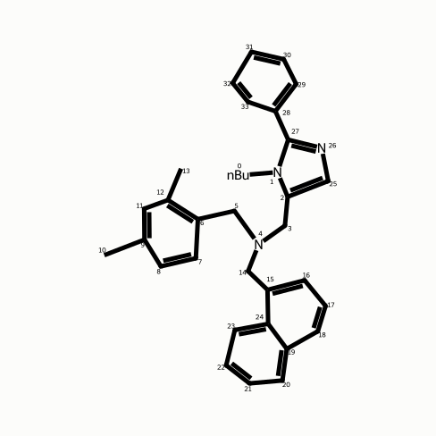 CCCCn1c(CN(Cc2ccc(C)cc2C)Cc2cccc3ccccc23)cnc1-c1ccccc1